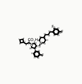 O=C(O)[C@@H](CC1CCC1)N1C[C@H](CN2CCC(CCCc3ccc(F)cc3F)CC2)[C@@H](c2cccc(F)c2)C1